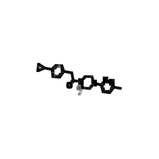 Cc1ccc(N2CCN(C(=O)Cc3ccc(C4CC4)cc3)[C@@H](C)C2)nn1